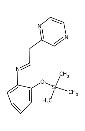 C[Si](C)(C)Oc1ccccc1N=CCc1cnccn1